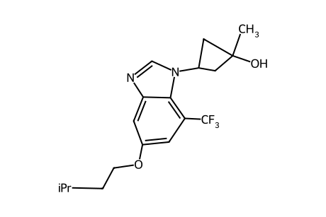 CC(C)CCOc1cc(C(F)(F)F)c2c(c1)ncn2C1CC(C)(O)C1